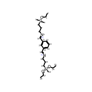 CCO[Si](C)(C)CCC/N=C/c1cccc(/C=N/CCC[Si](C)(OCC)OCC)c1